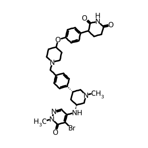 CN1C[C@H](Nc2cnn(C)c(=O)c2Br)C[C@H](c2ccc(CN3CCC(Oc4ccc(C5CCC(=O)NC5=O)cc4)CC3)cc2)C1